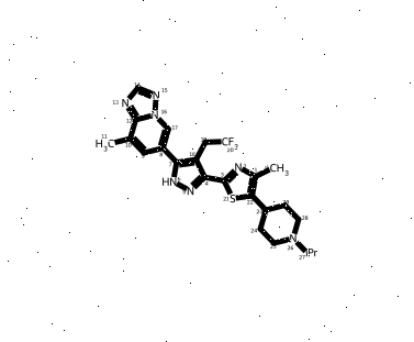 Cc1nc(-c2n[nH]c(-c3cc(C)c4ncnn4c3)c2CC(F)(F)F)sc1C1CCN(C(C)C)CC1